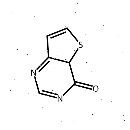 O=C1N=CN=C2C=CSC12